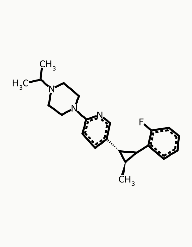 CC(C)N1CCN(c2ccc([C@@H]3C(c4ccccc4F)[C@H]3C)cn2)CC1